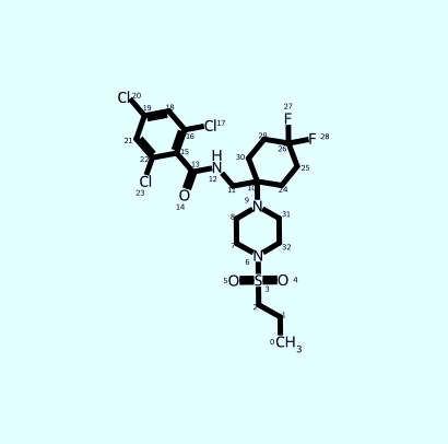 CCCS(=O)(=O)N1CCN(C2(CNC(=O)c3c(Cl)cc(Cl)cc3Cl)CCC(F)(F)CC2)CC1